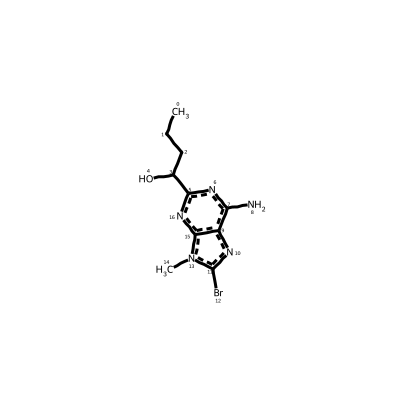 CCCC(O)c1nc(N)c2nc(Br)n(C)c2n1